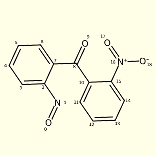 O=Nc1ccccc1C(=O)c1ccccc1[N+](=O)[O-]